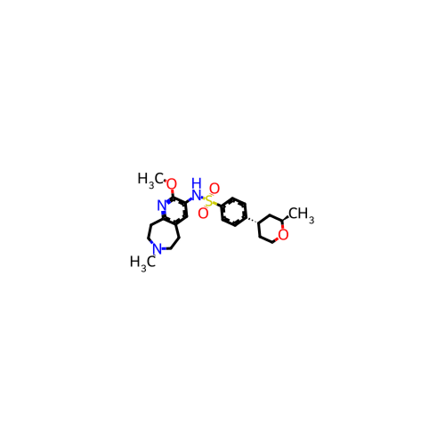 COc1nc2c(cc1NS(=O)(=O)c1ccc([C@H]3CCO[C@H](C)C3)cc1)CCN(C)CC2